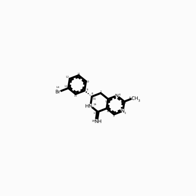 Cc1ncc2c(n1)C[C@@H](c1cccc(Br)c1)NC2=N